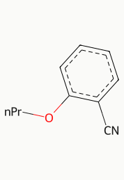 [CH2]CCOc1ccccc1C#N